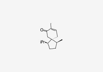 CC1=CC[C@]2(CC1=O)[C@@H](C)CC[C@H]2C(C)C